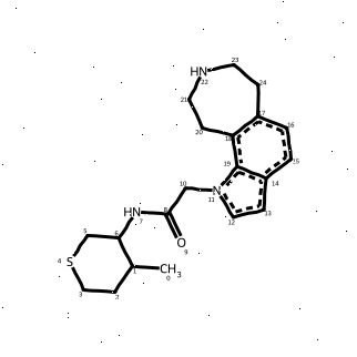 CC1CCSCC1NC(=O)Cn1ccc2ccc3c(c21)CCNCC3